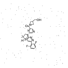 CC1(C)C[C@]2(c3cncc(C(=O)N4CC(CO)C4)n3)CC[C@H]1c1cc(-c3c(F)cccc3F)nnc12